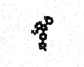 Cc1nc(-c2ccc(-c3nn([C@@H]4CCCNC4)c4ncnc(N)c34)cc2)no1